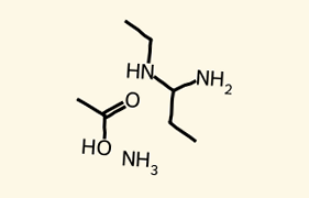 CC(=O)O.CCNC(N)CC.N